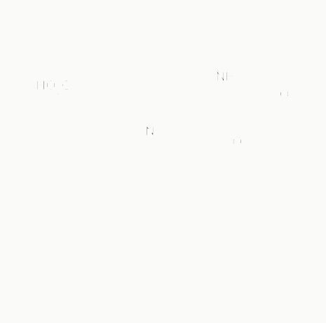 O=C(O)Cc1ccc(NC(=O)OCc2ccccc2)cn1